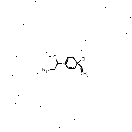 C=CC1(C)C=CC(C(C)CC)=CC1